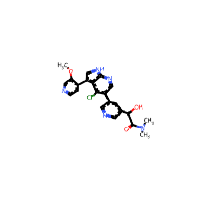 COc1cnccc1-c1c[nH]c2ncc(-c3cncc(C(O)C(=O)N(C)C)c3)c(Cl)c12